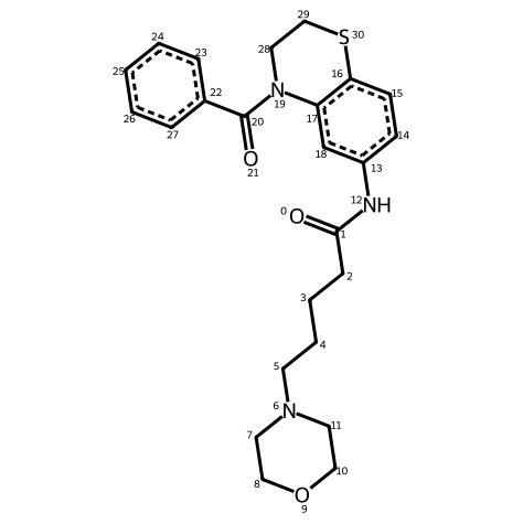 O=C(CCCCN1CCOCC1)Nc1ccc2c(c1)N(C(=O)c1ccccc1)CCS2